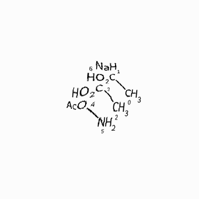 CC(=O)O.CC(=O)O.CC(=O)ON.[NaH]